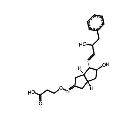 O=C(O)CCON=C1C[C@H]2C[C@H](O)[C@@H](C=CC(O)Cc3ccccc3)[C@@H]2C1